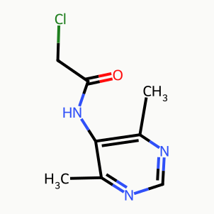 Cc1ncnc(C)c1NC(=O)CCl